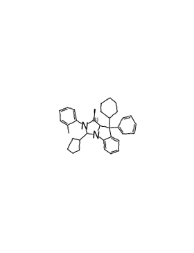 Cc1ccccc1N1C(C2CCCC2)N2c3ccccc3C(c3ccccc3)(C3CCCCC3)C2[C@@H]1C